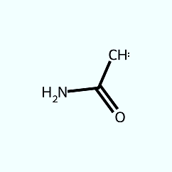 [CH]C(N)=O